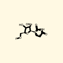 COC1C(O)[C@H](COF)O[C@@H]1n1ccc(=O)[nH]c1=O